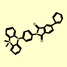 C[Si]1(C)c2ccccc2N(c2ccc(N3C(=O)c4ccc(-c5ccccc5)cc4C3=O)cc2)c2ccccc21